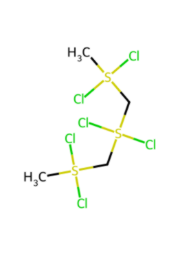 CS(Cl)(Cl)CS(Cl)(Cl)CS(C)(Cl)Cl